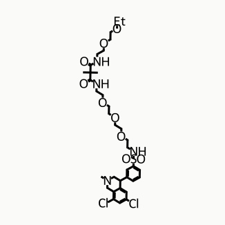 CCOCCOCCNC(=O)C(C)(C)C(=O)NCCOCCOCCOCCNS(=O)(=O)c1cccc(C2CN(C)Cc3c(Cl)cc(Cl)cc32)c1